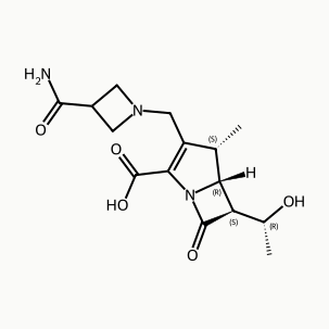 C[C@@H](O)[C@H]1C(=O)N2C(C(=O)O)=C(CN3CC(C(N)=O)C3)[C@H](C)[C@H]12